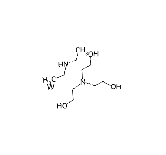 CCNCC.OCCN(CCO)CCO.[W]